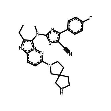 CCc1nc2ccc(N3CCC4(CCNC4)C3)nn2c1N(C)c1nc(-c2ccc(F)cc2)c(C#N)s1